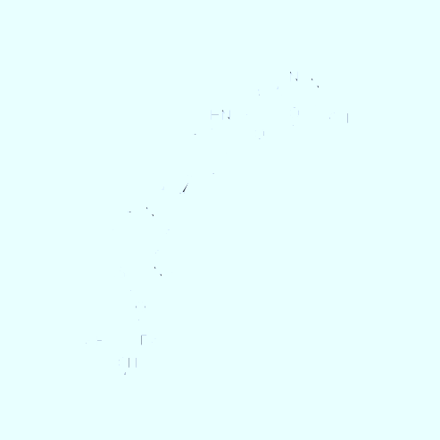 Cc1nnc(CC(=O)N[C@H]2CC[C@H](CCN3CCc4sc(OCC(C)(F)F)nc4C3)CC2)o1